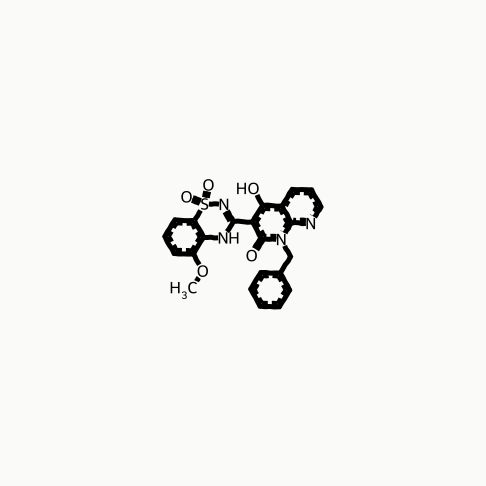 COc1cccc2c1NC(c1c(O)c3cccnc3n(Cc3ccccc3)c1=O)=NS2(=O)=O